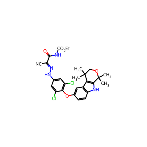 CCOC(=O)NC(=O)/C(C#N)=N/Nc1cc(Cl)c(Oc2ccc3[nH]c4c(c3c2)C(C)(C)COC4(C)C)c(Cl)c1